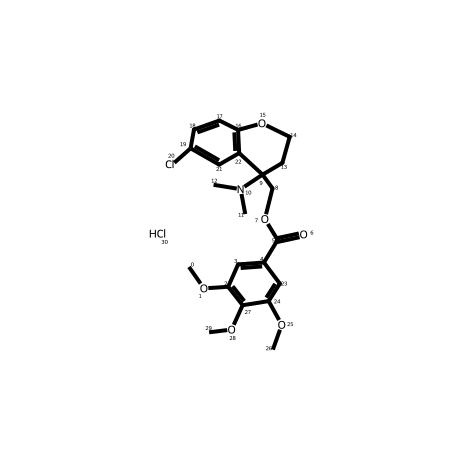 COc1cc(C(=O)OCC2(N(C)C)CCOc3ccc(Cl)cc32)cc(OC)c1OC.Cl